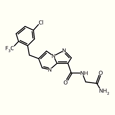 NC(=O)CNC(=O)c1cnn2cc(Cc3cc(Cl)ccc3C(F)(F)F)cnc12